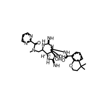 CN(CC1NC(=N)N2CC(NC(=O)c3cccc4c3OCCC4(C)C)C(O)(O)C23NC(=N)N[C@@H]13)C(=O)c1ncccn1